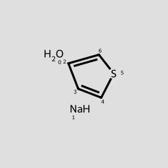 O.[NaH].c1ccsc1